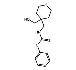 OCC1(CNC(=S)Oc2ccccc2)CCSCC1